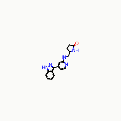 O=C1CCC(CNc2cc(-c3n[nH]c4ccccc34)ccn2)N1